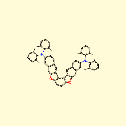 Cc1cccc(C)c1N(c1ccc2cc3c(cc2c1)oc1ccc2oc4cc5cc(N(c6c(C)cccc6C)c6c(C)cccc6C)ccc5cc4c2c13)c1c(C)cccc1C